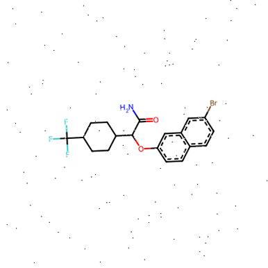 NC(=O)C(Oc1ccc2ccc(Br)cc2c1)C1CCC(C(F)(F)F)CC1